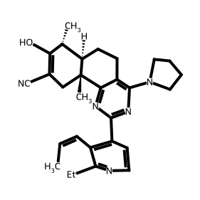 C/C=C\c1c(-c2nc(N3CCCC3)c3c(n2)[C@]2(C)CC(C#N)=C(O)[C@H](C)[C@H]2CC3)ccnc1CC